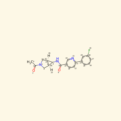 CC(=O)N1C[C@@H]2C(NC(=O)c3ccc(-c4cccc(F)c4)nc3)[C@@H]2C1